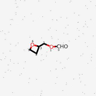 O=COCC1CCO1